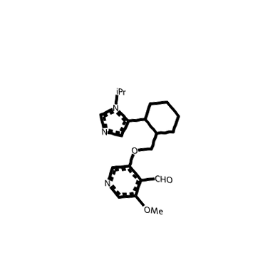 COc1cncc(OCC2CCCCC2c2cncn2C(C)C)c1C=O